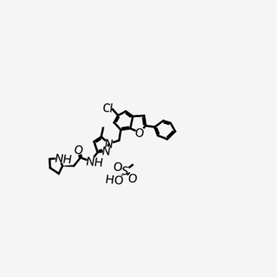 CS(=O)(=O)O.Cc1cc(NC(=O)C[C@H]2CCCN2)nn1Cc1cc(Cl)cc2cc(-c3ccccc3)oc12